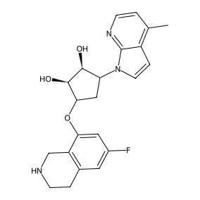 Cc1ccnc2c1ccn2C1CC(Oc2cc(F)cc3c2CNCC3)[C@@H](O)[C@H]1O